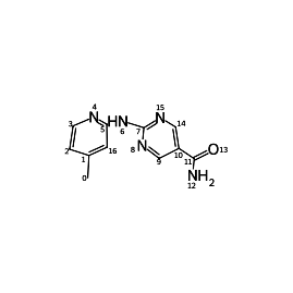 Cc1ccnc(Nc2ncc(C(N)=O)cn2)c1